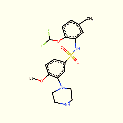 CCOc1ccc(S(=O)(=O)Nc2cc(C)ccc2OC(F)F)cc1N1CCNCC1